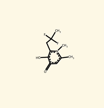 Cc1cc(=O)c(O)c(CC(C)(F)F)n1C